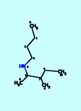 CCCCNC(C)C(C)CC